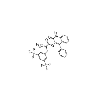 CN(Cc1cc(C(F)(F)F)cc(C(F)(F)F)c1)C(=O)Oc1c(-c2ccccc2)c2ccccc2[nH]c1=O